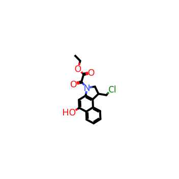 CCOC(=O)C(=O)N1CC(CCl)c2c1cc(O)c1ccccc21